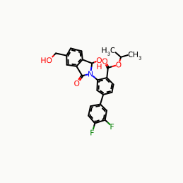 CC(C)OC(=O)c1ccc(-c2ccc(F)c(F)c2)cc1N1C(=O)c2cc(CO)ccc2C1O